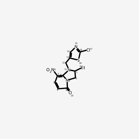 CCC1Cn2c(c([N+](=O)[O-])ccc2=O)N1Cc1cnc(Cl)s1